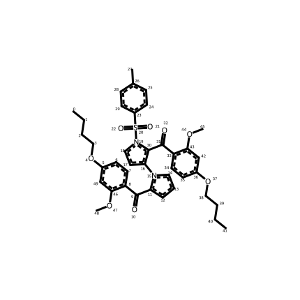 CCCCOc1ccc(C(=O)c2cccn2-c2ccn(S(=O)(=O)c3ccc(C)cc3)c2C(=O)c2ccc(OCCCC)cc2OC)c(OC)c1